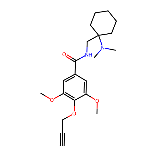 C#CCOc1c(OC)cc(C(=O)NCC2(N(C)C)CCCCC2)cc1OC